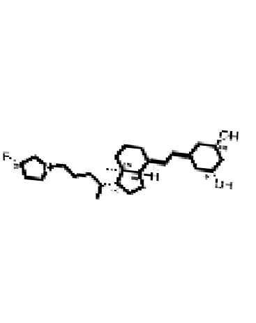 CC(CCCN1CC[C@H](F)C1)[C@H]1CC[C@H]2/C(=C/C=C3C[C@@H](O)C[C@H](O)C3)CCC[C@]12C